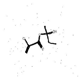 C=C(Cl)C(=O)OC(C)(O)CC